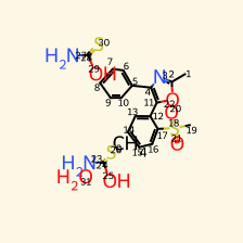 C.Cc1nc(-c2ccccc2)c(-c2ccccc2S(C)(=O)=O)o1.NC(O)=S.NC(O)=S.O